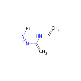 C=CNC(=C)/N=N\CC